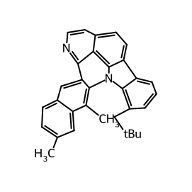 Cc1ccc2cc3c4nccc5ccc6c7cccc(CC(C)(C)C)c7n(c3c(C)c2c1)c6c54